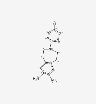 Nc1cc2c(cc1N)CCN(c1cnc(Cl)cn1)CC2